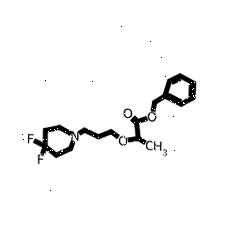 CC(OCCCN1CCC(F)(F)CC1)C(=O)OCc1ccccc1